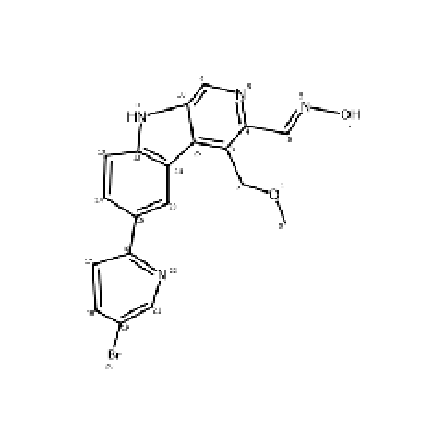 COCc1c(C=NO)ncc2[nH]c3ccc(-c4ccc(Br)cn4)cc3c12